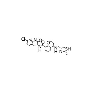 NC(=O)[C@@H](Cc1ccc(Cl)cc1)NC(=O)c1cccc2c1OCCC2NC[C@@H](N)CS